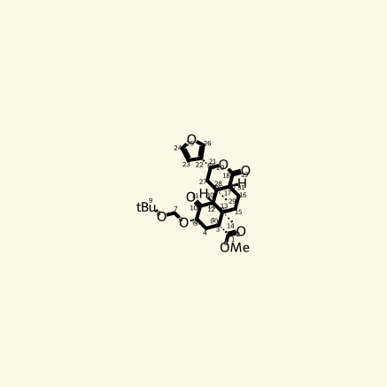 COC(=O)[C@@H]1C[C@H](OCOC(C)(C)C)C(=O)[C@H]2[C@@]1(C)CC[C@H]1C(=O)O[C@@H](c3ccoc3)C[C@]21C